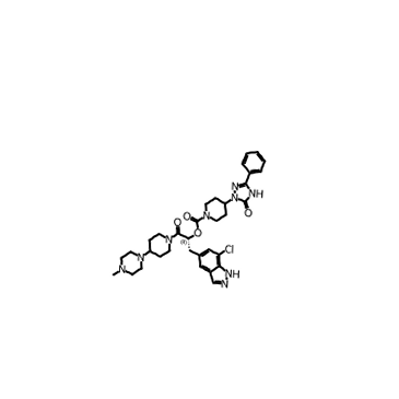 CN1CCN(C2CCN(C(=O)[C@@H](Cc3cc(Cl)c4[nH]ncc4c3)OC(=O)N3CCC(n4nc(-c5ccccc5)[nH]c4=O)CC3)CC2)CC1